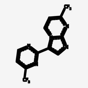 FC(F)(F)c1ccnc(-c2cnc3nc(C(F)(F)F)ccn23)n1